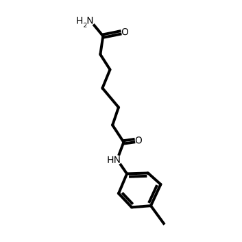 Cc1ccc(NC(=O)CCCCCC(N)=O)cc1